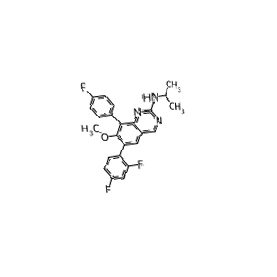 COc1c(-c2ccc(F)cc2F)cc2cnc(NC(C)C)nc2c1-c1ccc(F)cc1